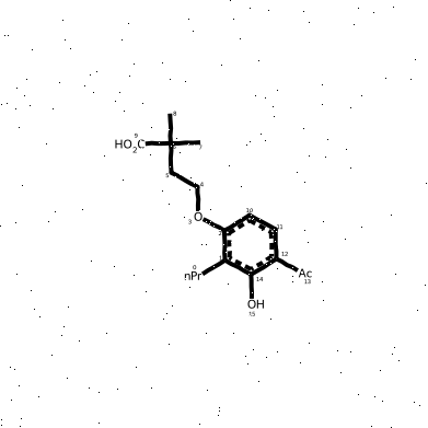 CCCc1c(OCCC(C)(C)C(=O)O)ccc(C(C)=O)c1O